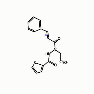 O=[C]CN(NC(=O)c1cccs1)C(=O)/C=C/c1ccccc1